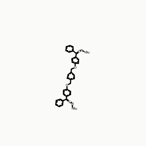 CCCCN=C=C(c1ccccc1)c1ccc(OCc2ccc(COc3ccc(C(=C=NCCCC)c4ccccc4)cc3)cc2)cc1